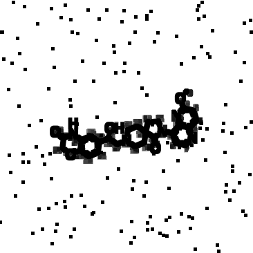 COc1ccc2nccc(N3CCC4(CCN(C[C@H](O)c5ccc6c(c5)NC(=O)CO6)CC4)C3=O)c2n1